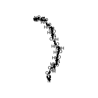 CN1CC2(CCN(C(=O)CCNC(=O)c3nc(NC(=O)c4cc(NC(=O)CCNC(=O)c5nc(NC(=O)CCCNC(=O)c6cc(NC(=O)c7nc(NC(=O)CCNC(=O)c8cc(NC(=O)c9nccn9C)cn8C)cn7C)cn6C)c[nH]5)cn4C)c[nH]3)CC2)C1